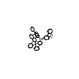 c1ccc(-c2ccc(N(c3ccc4c(c3)C3(c5ccccc5-4)c4ccccc4-c4c3cc3c5c(cccc45)-c4ccccc4-3)c3ccc4oc5ccccc5c4c3)cc2)cc1